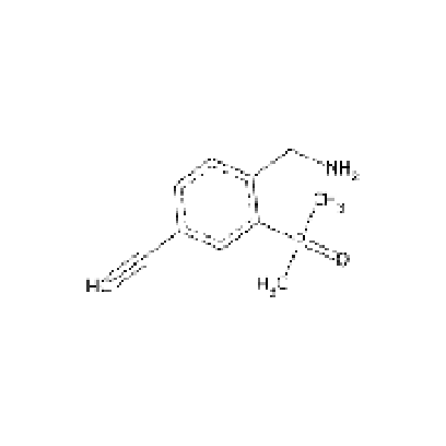 C#Cc1ccc(CN)c(P(C)(C)=O)c1